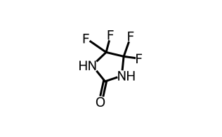 O=C1NC(F)(F)C(F)(F)N1